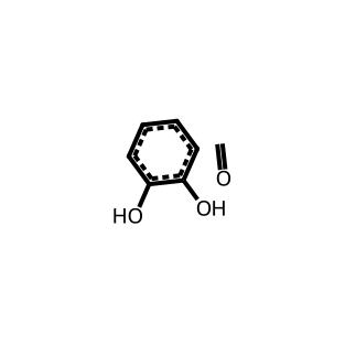 C=O.Oc1ccccc1O